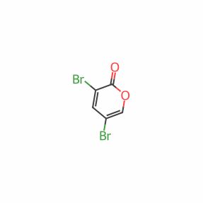 O=c1occ(Br)cc1Br